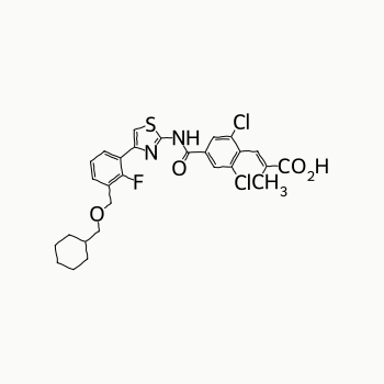 CC(=Cc1c(Cl)cc(C(=O)Nc2nc(-c3cccc(COCC4CCCCC4)c3F)cs2)cc1Cl)C(=O)O